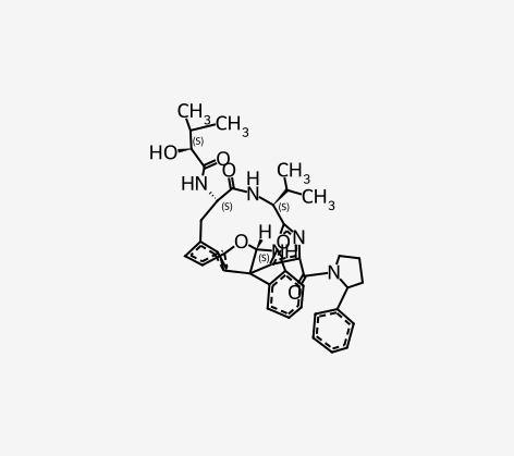 CC(C)[C@H](O)C(=O)N[C@H]1Cc2ccc3c(c2)C2(c4ccccc4N[C@H]2O3)c2oc(nc2C(=O)N2CCCC2c2ccccc2)[C@H](C(C)C)NC1=O